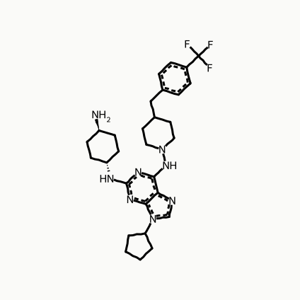 N[C@H]1CC[C@H](Nc2nc(NN3CCC(Cc4ccc(C(F)(F)F)cc4)CC3)c3ncn(C4CCCC4)c3n2)CC1